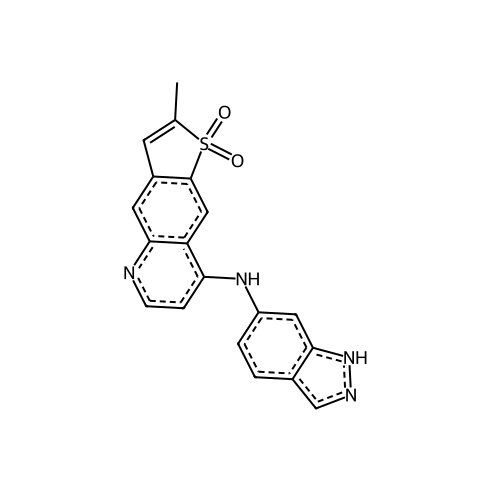 CC1=Cc2cc3nccc(Nc4ccc5cn[nH]c5c4)c3cc2S1(=O)=O